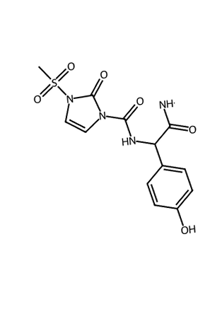 CS(=O)(=O)n1ccn(C(=O)NC(C([NH])=O)c2ccc(O)cc2)c1=O